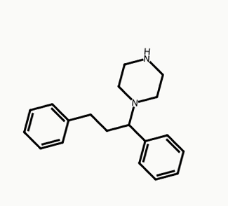 c1ccc(CCC(c2ccccc2)N2CCNCC2)cc1